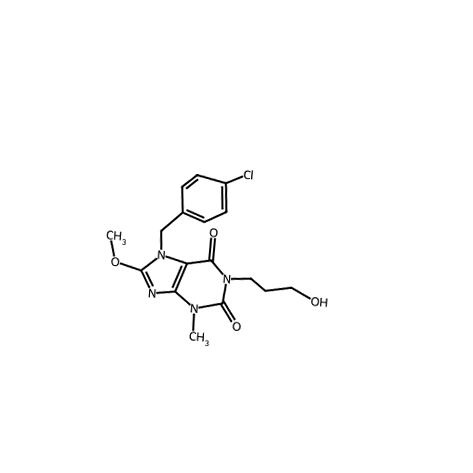 COc1nc2c(c(=O)n(CCCO)c(=O)n2C)n1Cc1ccc(Cl)cc1